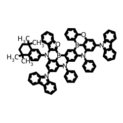 CC1(C)CCC(C)(C)c2cc(N3c4cc(-n5c6ccccc6c6ccccc65)cc5c4B(c4cc6c(cc4N5c4ccccc4)N(c4ccccc4)c4cc(-n5c7ccccc7c7ccccc75)cc5c4B6c4ccccc4O5)c4oc5ccccc5c43)ccc21